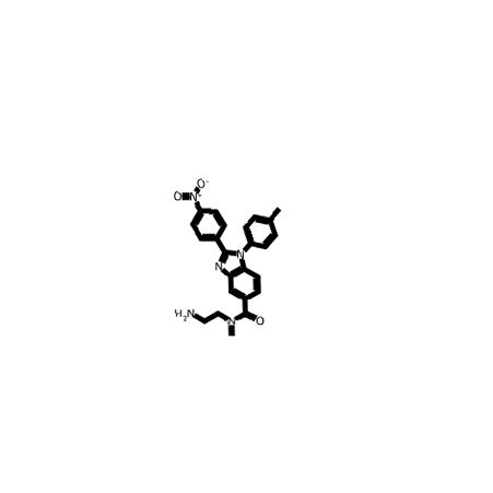 Cc1ccc(-n2c(-c3ccc([N+](=O)[O-])cc3)nc3cc(C(=O)N(C)CCN)ccc32)cc1